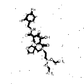 CCOP(CCN1CC2(CCOC2)n2cc(C(=O)NCc3ccc(F)cc3F)c(=O)c(O)c2C1=O)OCC